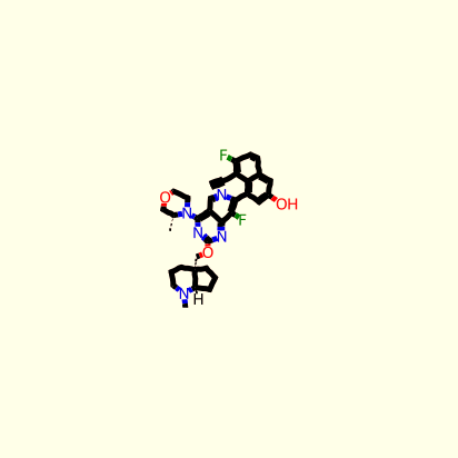 C#Cc1c(F)ccc2cc(O)cc(-c3ncc4c(N5CCOC[C@H]5C)nc(OC[C@]56CCC[C@H]5N(C)CCC6)nc4c3F)c12